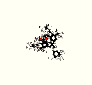 CC1(C)CC(OC(=O)C(Cc2cc(C(C)(C)C)c(OC(=O)OC(C)(C)C)c(C(C)(C)C)c2)(Cc2cc(C(C)(C)C)c(OC(=O)OC(C)(C)C)c(C(C)(C)C)c2)C(=O)OC2CC(C)(C)NC(C)(C)C2)CC(C)(C)N1